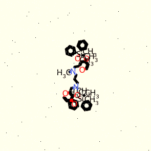 CN(CCCN(C)Cc1occc(=O)c1O[Si](c1ccccc1)(c1ccccc1)C(C)(C)C)Cc1occc(=O)c1O[Si](c1ccccc1)(c1ccccc1)C(C)(C)C